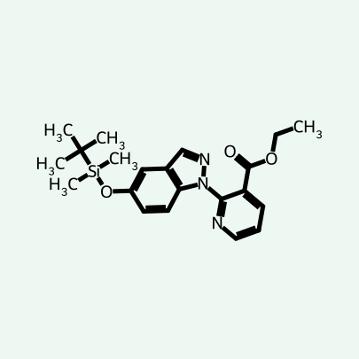 CCOC(=O)c1cccnc1-n1ncc2cc(O[Si](C)(C)C(C)(C)C)ccc21